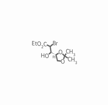 CCOC(=O)C(Br)C(O)[C@H]1COC(C)(C)O1